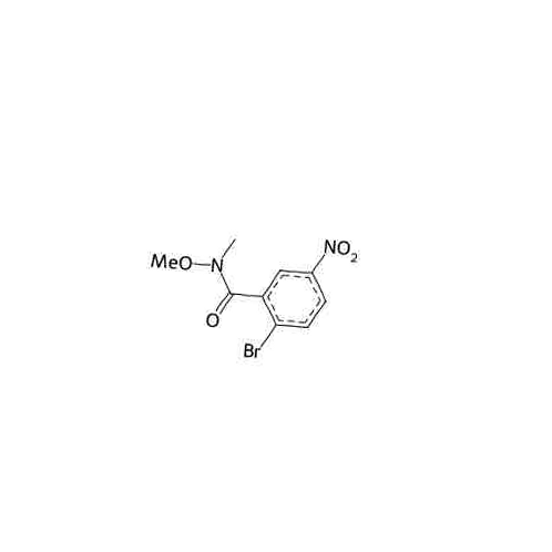 CON(C)C(=O)c1cc([N+](=O)[O-])ccc1Br